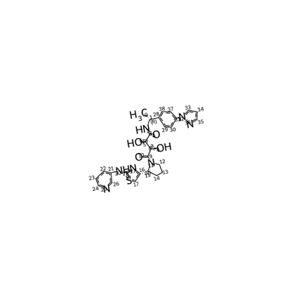 C[C@@H](NC(=O)[C@H](O)[C@@H](O)C(=O)N1CCC[C@@H]1c1csc(Nc2cccnc2)n1)c1ccc(-n2cccn2)cc1